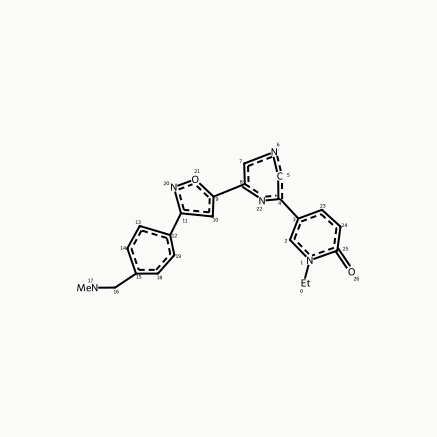 CCn1cc(-c2cncc(-c3cc(-c4ccc(CNC)cc4)no3)n2)ccc1=O